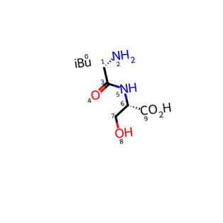 CC[C@H](C)[C@H](N)C(=O)N[C@@H](CO)C(=O)O